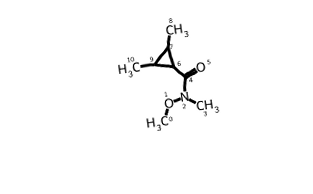 CON(C)C(=O)C1C(C)C1C